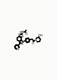 CC(=O)Nc1nc2c(s1)-c1c(c(-c3cccnc3)nn1-c1ccc(CC(=O)N3CCCC(O)C3)cc1)CC2